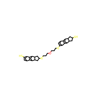 SC1CC2C(C1)C1CC2C2C3CC(SCCCOCCCSC4CC5C(C4)C4CC5C5C6CC(S)C(C6)C45)C(C3)C12